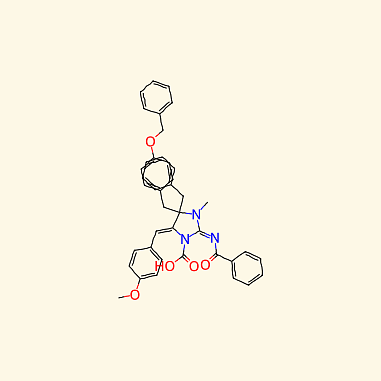 COc1ccc(/C=C2\N(C(=O)O)/C(=N\C(=O)c3ccccc3)N(C)C2(Cc2ccccc2)Cc2ccc(OCc3ccccc3)cc2)cc1